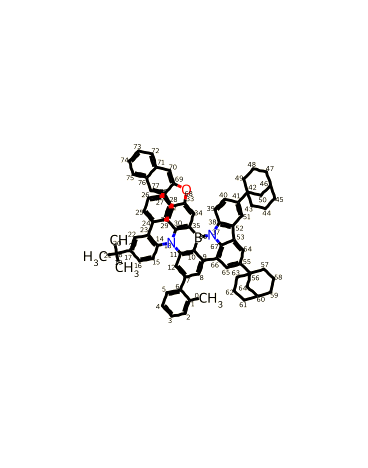 Cc1ccccc1-c1cc2c3c(c1)N(c1ccc(C(C)(C)C)cc1-c1ccccc1)c1cc4c(cc1B3n1c3ccc(C56CCCC(CCC5)C6)cc3c3cc(C56CCCC(CCC5)C6)cc-2c31)oc1cc2ccccc2cc14